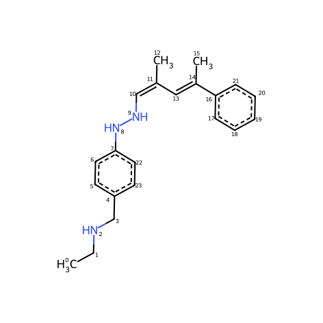 CCNCc1ccc(NN/C=C(C)\C=C(/C)c2ccccc2)cc1